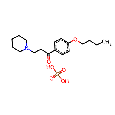 CCCCOc1ccc(C(=O)CCN2CCCCC2)cc1.O=S(=O)(O)O